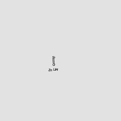 O=[Si].[LiH].[Zn]